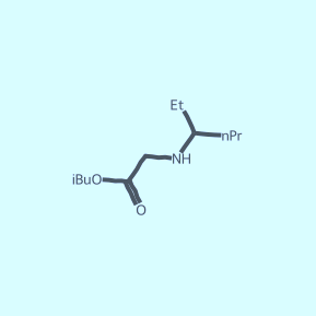 CCCC(CC)NCC(=O)OCC(C)C